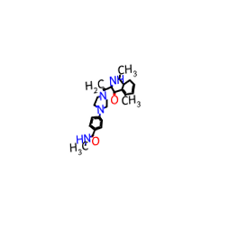 C=C(C(=N)C(=O)C1=C(C)C=CCC1CC)N1CCN(c2ccc(C(=O)NC)cc2)CC1